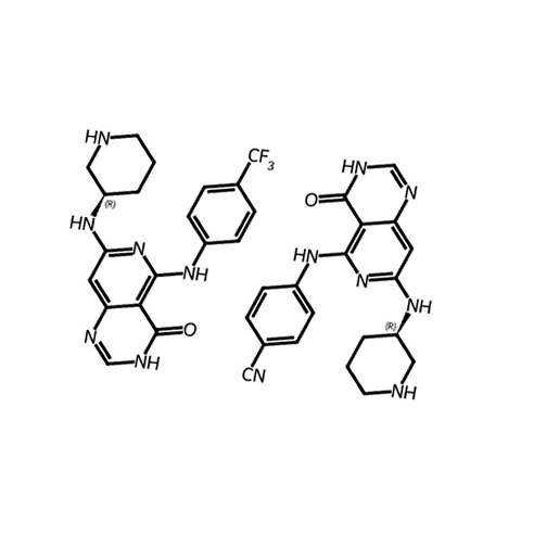 N#Cc1ccc(Nc2nc(N[C@@H]3CCCNC3)cc3nc[nH]c(=O)c23)cc1.O=c1[nH]cnc2cc(N[C@@H]3CCCNC3)nc(Nc3ccc(C(F)(F)F)cc3)c12